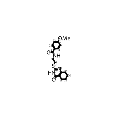 COc1ccc(C(=O)NCCSc2nc3c(c(=O)[nH]2)CCCC3)cc1